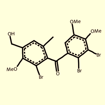 COc1cc(C(=O)c2c(C)cc(CO)c(OC)c2Br)c(Br)c(Br)c1OC